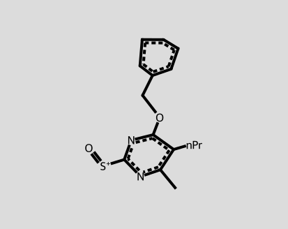 CCCc1c(C)nc([S+]=O)nc1OCc1ccccc1